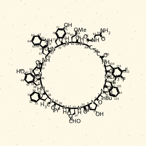 CCCC[C@H]1C(=O)N2C[C@H](O)C[C@@H]2C(=O)N[C@@H](COC=O)C(=O)N[C@@H](C(C)C)C(=O)N(C)[C@@H](Cc2ccccc2)C(=O)N[C@@H](Cc2ccc(O)cc2)C(=O)N2CCC[C@@H]2C(=O)N[C@@H](Cc2c[nH]c3ccccc23)C(=O)N[C@@H](Cc2ccc(O)cc2)C(=O)N[C@@H](CCOC)C(=O)N[C@H](C(=O)NCC(N)=O)CSCC(=O)N[C@@H](Cc2cc(F)c(F)c(F)c2)C(=O)N(C)[C@@H](Cc2ccccc2)C(=O)N1C